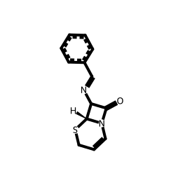 O=C1C(/N=C/c2ccccc2)[C@H]2SCC=CN12